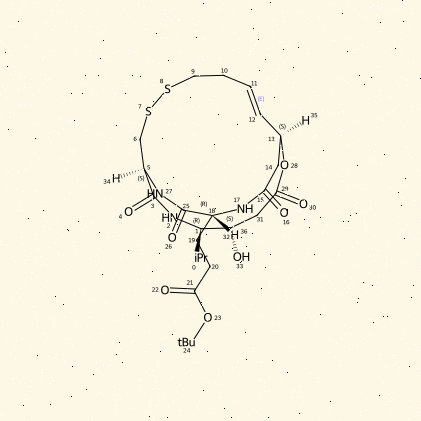 CC(C)[C@H]1NC(=O)[C@H]2CSSCC/C=C/[C@H](CC(=O)N[C@H](CCC(=O)OC(C)(C)C)C(=O)N2)OC(=O)C[C@@H]1O